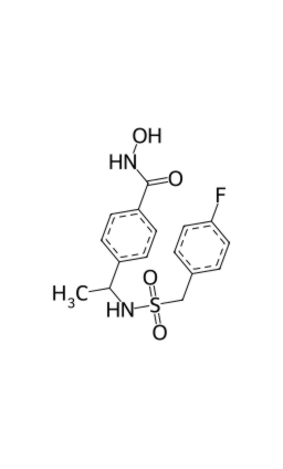 CC(NS(=O)(=O)Cc1ccc(F)cc1)c1ccc(C(=O)NO)cc1